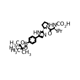 CC(C)[C@H](NC(=O)O)C(=O)N1CCC[C@H]1c1ncc(-c2ccc(B3OC(C)(C)C(C)(C)O3)cc2)[nH]1